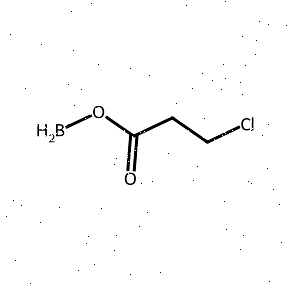 BOC(=O)CCCl